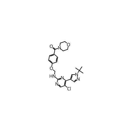 CC(C)(C)n1cc(-c2nc(NCOc3ccc(C(=O)N4CCOCC4)cc3)ncc2Cl)cn1